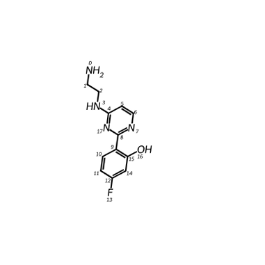 NCCNc1ccnc(-c2ccc(F)cc2O)n1